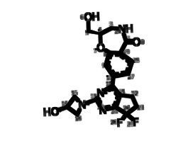 O=C1NC[C@H](CO)Oc2cc(-c3nc(N4CC(O)C4)nc4c3CCC4(F)F)ccc21